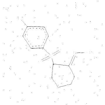 O=S(=O)(c1ccc(F)cc1)C1CCCC/C1=N\O